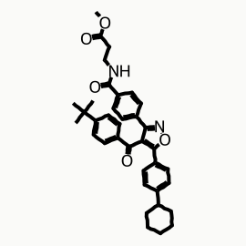 COC(=O)CCNC(=O)c1ccc(-c2noc(-c3ccc(C4CCCCC4)cc3)c2C(=O)c2ccc(C(C)(C)C)cc2)cc1